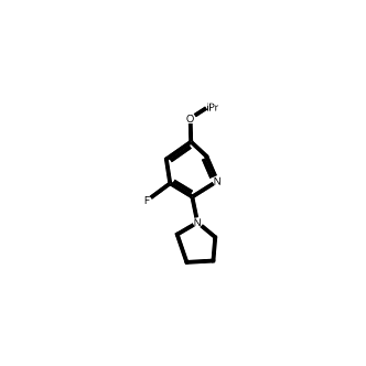 CC(C)Oc1cnc(N2CCCC2)c(F)c1